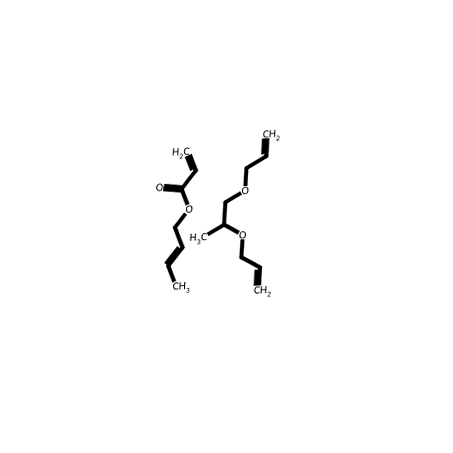 C=CC(=O)OCC=CC.C=CCOCC(C)OCC=C